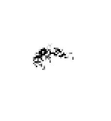 C[C@@]1(c2cc(NC(=O)c3cn4cc(C(F)(F)F)nc4cn3)ccc2F)CCSC(N)=N1